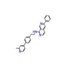 Cc1cc(-c2ccc(CCNc3nccc4cc(-c5ccccc5)ncc34)cc2)ccn1